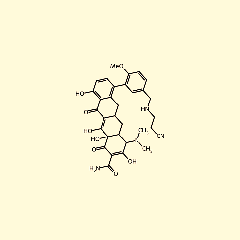 COc1ccc(CNCCC#N)cc1-c1ccc(O)c2c1CC1CC3C(N(C)C)C(O)=C(C(N)=O)C(=O)C3(O)C(O)=C1C2=O